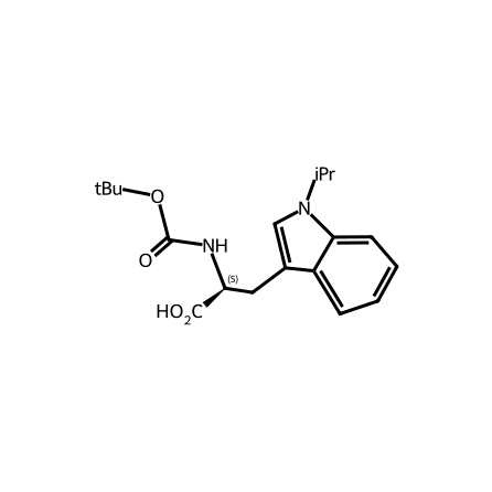 CC(C)n1cc(C[C@H](NC(=O)OC(C)(C)C)C(=O)O)c2ccccc21